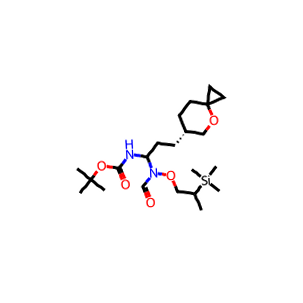 CC(CON(C=O)C(CC[C@@H]1CCC2(CC2)OC1)NC(=O)OC(C)(C)C)[Si](C)(C)C